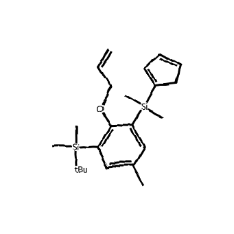 C=CCOc1c([Si](C)(C)C2=CC=CC2)cc(C)cc1[Si](C)(C)C(C)(C)C